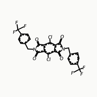 O=c1c2c(Cl)c3c(=O)n(Cc4ccc(C(F)(F)F)cc4)c(=O)c3c(Cl)c2c(=O)n1Cc1ccc(C(F)(F)F)cc1